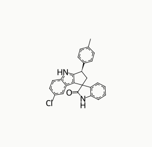 Cc1ccc([C@H]2CC3(C(=O)Nc4ccccc43)c3c2[nH]c2ccc(Cl)cc32)cc1